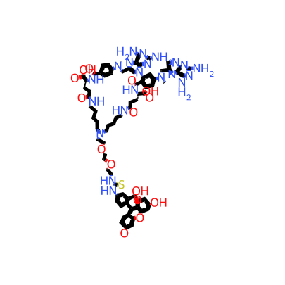 CN(Cc1cnc2nc(N)nc(N)c2n1)c1ccc(C(=O)N[C@@H](CCC(=O)NCCCCCN(CCCCCNC(=O)CC[C@H](NC(=O)c2ccc(N(C)Cc3cnc4nc(N)nc(N)c4n3)cc2)C(=O)O)CCOCCOCCNC(=S)Nc2ccc(-c3c4ccc(=O)cc-4oc4cc(O)ccc34)c(C(=O)O)c2)C(=O)O)cc1